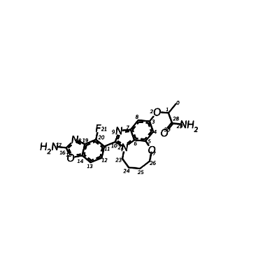 CC(Oc1cc2c3c(c1)nc(-c1ccc4oc(N)nc4c1F)n3CCCCO2)C(N)=O